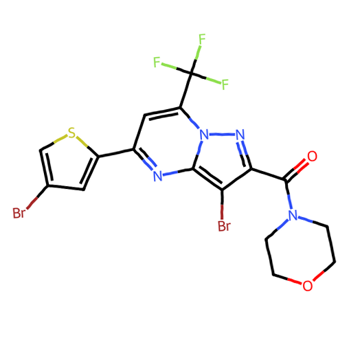 O=C(c1nn2c(C(F)(F)F)cc(-c3cc(Br)cs3)nc2c1Br)N1CCOCC1